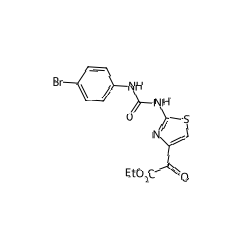 CCOC(=O)C(=O)c1csc(NC(=O)Nc2ccc(Br)cc2)n1